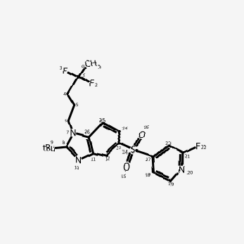 CC(F)(F)CCCn1c(C(C)(C)C)nc2cc(S(=O)(=O)c3ccnc(F)c3)ccc21